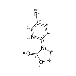 O=C1O[CH]CN1c1ccc(Br)cn1